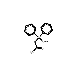 CO[I+](OC(=O)C(F)(F)F)(c1ccccc1)c1ccccc1